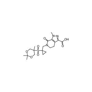 Cn1nc(C(=O)O)c2c1C(=O)N(CC1(S(=O)(=O)C3(C)COC(C)(C)OC3)CC1)CC2